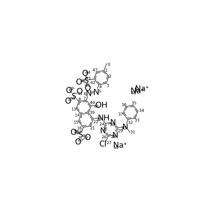 Cc1ccc(N=Nc2c(S(=O)(=O)[O-])cc3cc(S(=O)(=O)[O-])cc(Nc4nc(Cl)nc(N(C)c5ccccc5)n4)c3c2O)c(S(=O)(=O)[O-])c1.[Na+].[Na+].[Na+]